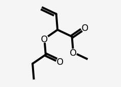 C=CC(OC(=O)CC)C(=O)OC